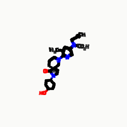 C#CCN(C(=O)O)c1cnc(N2CCC[C@@]3(CCN([C@H]4CC[C@@H](O)CC4)C3=O)C2)c(C)c1